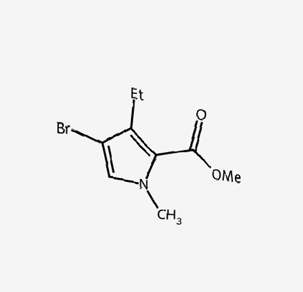 CCc1c(Br)cn(C)c1C(=O)OC